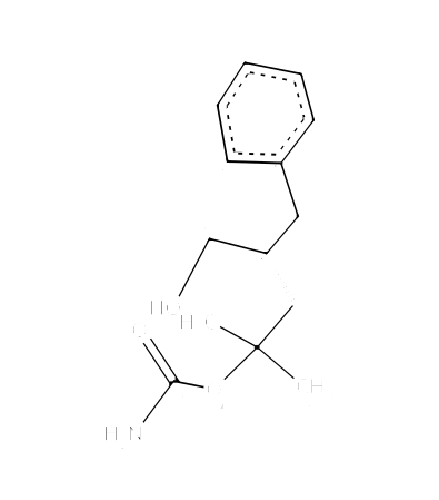 CC(C)(C[C@H](CO)Cc1ccccc1)OC(N)=O